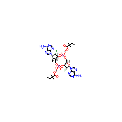 CCC(C)(C)C(=O)OCOP1(=O)OC[C@H]2C[C@@H](n3cnc4c(N)ncnc43)C(F)[C@H]2OP(=O)(OCOC(=O)C(C)(C)CC)OC[C@H]2O[C@@H](n3cnc4c(N)ncnc43)[C@@H](F)C2O1